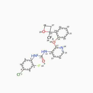 O=C(Nc1ccc(Cl)cc1F)Nc1cccnc1Oc1ccccc1C1(C(F)(F)F)CCO1